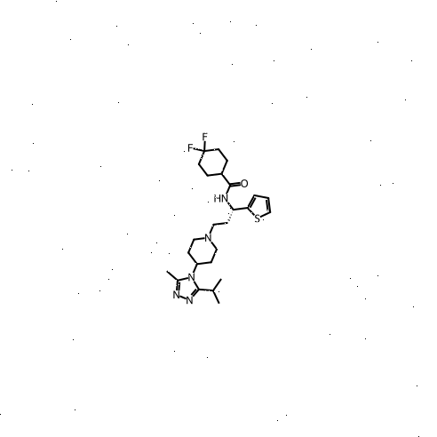 Cc1nnc(C(C)C)n1C1CCN(CC[C@H](NC(=O)C2CCC(F)(F)CC2)c2cccs2)CC1